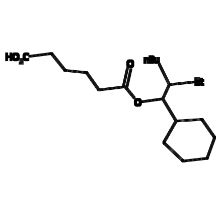 CCCCC(CC)C(OC(=O)CCCCC(=O)O)C1CCCCC1